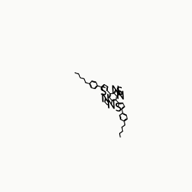 CCCCCc1ccc(-c2ccc(-c3c4nccnc4c(-c4ccc(-c5ccc(CCCCC)cc5)s4)c4nsnc34)s2)cc1